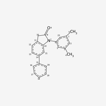 Cc1cc(C)cc(N2C(=O)Cc3ccc(-c4ccccc4)cc32)c1